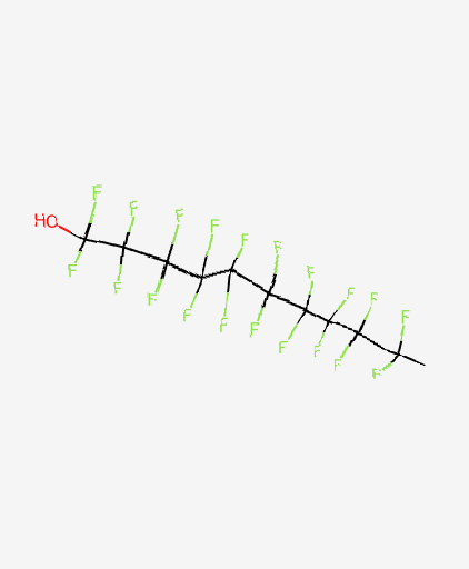 CC(F)(F)C(F)(F)C(F)(F)C(F)(F)C(F)(F)C(F)(F)C(F)(F)C(F)(F)C(F)(F)C(O)(F)F